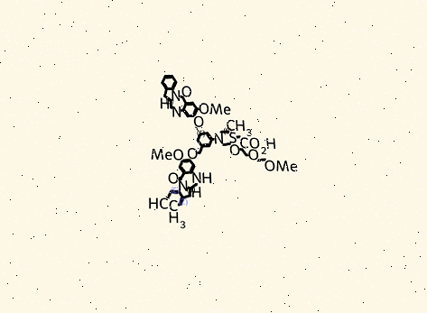 C#C/C=C1\C(=C/C)C[C@H]2CNc3cc(OCC4=CC(N(CCOCCOCCOC)C[C@H](C)SCC(=O)O)=C[C@@H](COc5cc6c(cc5OC)C(=O)N5c7ccccc7C[C@H]5C=N6)C4)c(OC)cc3C(=O)N12